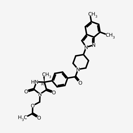 CC(=O)OCN1C(=O)N[C@](C)(c2ccc(C(=O)N3CCC(n4cc5cc(C)cc(C)c5n4)CC3)cc2)C1=O